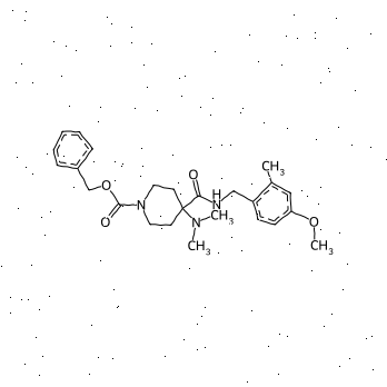 COc1ccc(CNC(=O)C2(N(C)C)CCN(C(=O)OCc3ccccc3)CC2)c(C)c1